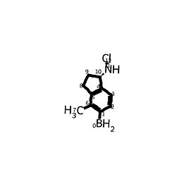 Bc1ccc2c(c1C)CC[C@@H]2NCl